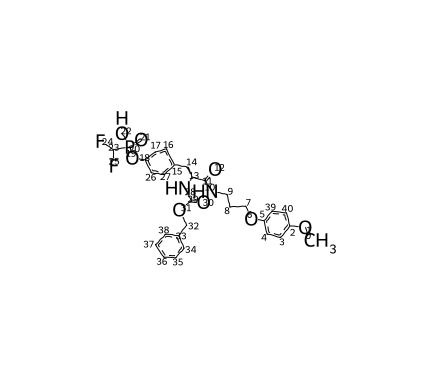 COc1ccc(OCCCNC(=O)[C@H](Cc2ccc(OP(=O)(O)C(F)F)cc2)NC(=O)OCc2ccccc2)cc1